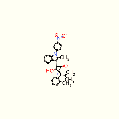 C=C(C)/C(=C1\C(=O)C(c2c(C)n(-c3ccc([N+](=O)[O-])cc3)c3ccccc23)=C1O)c1ccccc1C